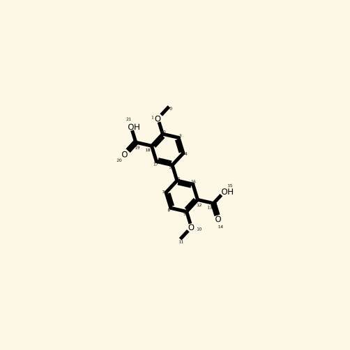 COc1ccc(-c2ccc(OC)c(C(=O)O)c2)cc1C(=O)O